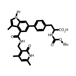 Cc1cc(C)c(CNC(=O)c2cc(-c3ccc(CC(NC(=O)OC(C)(C)C)C(=O)O)cc3)cc3c2c(C)cn3C(C)C)c(=O)[nH]1